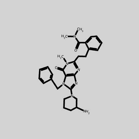 CN(C)C(=O)c1ccccc1CCc1nc2nc(N3CCCC(N)C3)n(Cc3ccccc3)c2c(=O)n1C